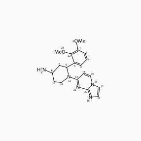 COc1cccc(C2CC(N)CCN2c2ccn3ccnc3n2)c1OC